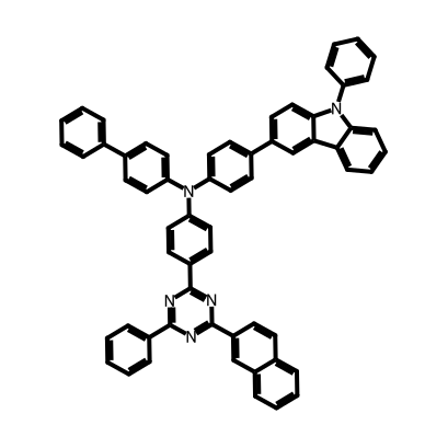 c1ccc(-c2ccc(N(c3ccc(-c4ccc5c(c4)c4ccccc4n5-c4ccccc4)cc3)c3ccc(-c4nc(-c5ccccc5)nc(-c5ccc6ccccc6c5)n4)cc3)cc2)cc1